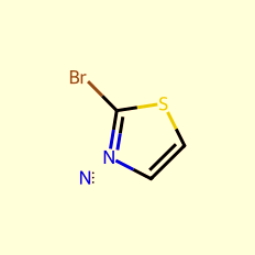 Brc1nccs1.[N]